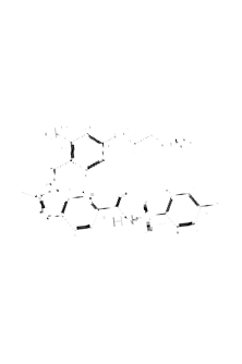 COCCOc1ccc(Cn2c(C)nc3ccc(C(=O)NS(=O)(=O)c4ccc(C)cc4)nc32)c(Cl)c1